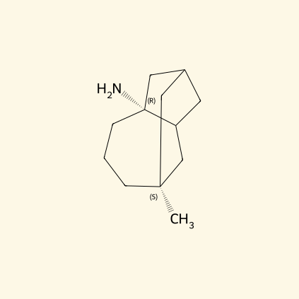 C[C@@]12CCC[C@@]3(N)CC(CC3C1)C2